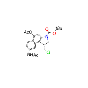 CC(=O)Nc1ccc2c(OC(C)=O)cc3c(c2c1)[C@@H](CCl)CN3C(=O)OC(C)(C)C